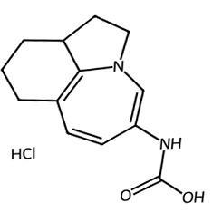 Cl.O=C(O)NC1=CN2CCC3CCCC(=C32)C=C1